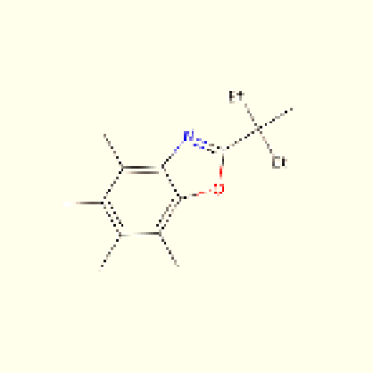 CCC(C)(CC)c1nc2c(C)c(C)c(C)c(C)c2o1